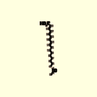 CC1O[C@H]1CCCCCCCCC=CC=CC=CC=CC(=O)O